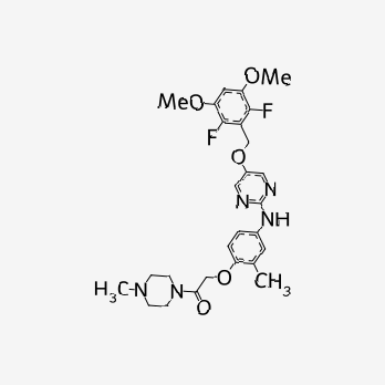 COc1cc(OC)c(F)c(COc2cnc(Nc3ccc(OCC(=O)N4CCN(C)CC4)c(C)c3)nc2)c1F